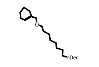 CCCCCCCCCCCCCCCCCCOCC1=CCCCC1